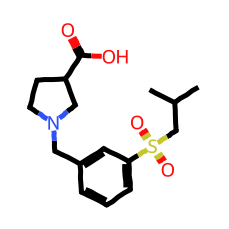 CC(C)CS(=O)(=O)c1cccc(CN2CCC(C(=O)O)C2)c1